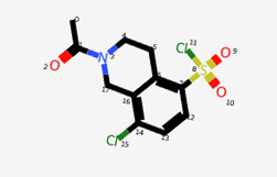 CC(=O)N1CCc2c(S(=O)(=O)Cl)ccc(Cl)c2C1